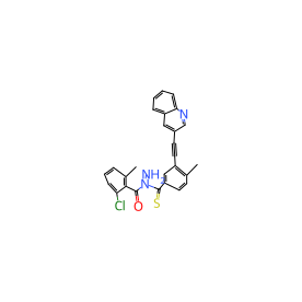 Cc1ccc(C(=S)N(N)C(=O)c2c(C)cccc2Cl)cc1C#Cc1cnc2ccccc2c1